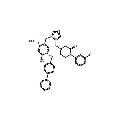 Cl.Cl.N#Cc1ccc(Cn2cncc2CN2CCN(c3cccc(Cl)c3)C(=O)C2)cc1Oc1ccc(-c2ccccc2)cc1